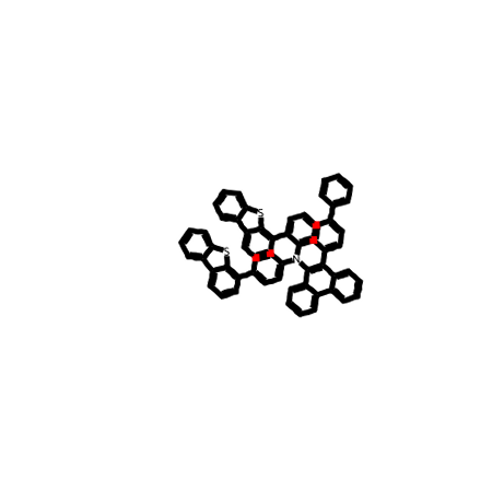 c1ccc(-c2ccc(-c3c(N(c4ccc(-c5cccc6c5sc5ccccc56)cc4)c4ccccc4-c4cccc5c4sc4ccccc45)c4ccccc4c4ccccc34)cc2)cc1